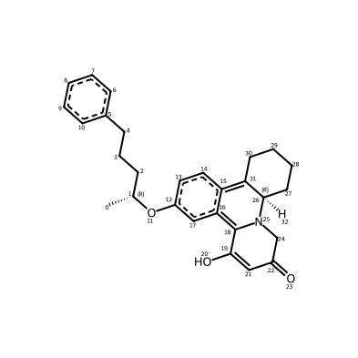 C[C@H](CCCc1ccccc1)Oc1ccc2c(c1)=C1C(O)=CC(=O)CN1[C@@H]1CCCCC=21